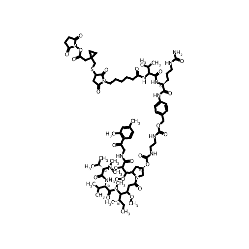 CC[C@H](C)C(C(CC(=O)N1C[C@@H](OC(=O)NCCNC(=O)OCc2ccc(NC(=O)[C@H](CCCNC(N)=O)NC(=O)C(NC(=O)CCCCCN3C(=O)CC(SCC4(CC(=O)ON5C(=O)CCC5=O)CC4)C3=O)C(C)C)cc2)CC1C(OC)C(C)C(=O)NCC(=O)c1ccc(C)cc1C)OC)N(C)C(=O)[C@@H](NC(=O)[C@H](C(C)C)N(C)C)C(C)C